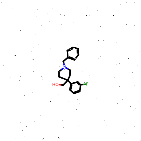 OCC1(c2cccc(F)c2)CCN(Cc2ccccc2)CC1